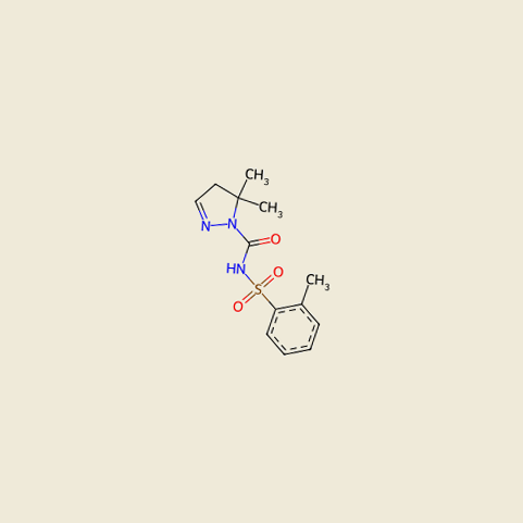 Cc1ccccc1S(=O)(=O)NC(=O)N1N=CCC1(C)C